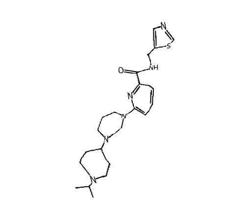 CC(C)N1CCC(N2CCCN(c3cccc(C(=O)NCc4cncs4)n3)CC2)CC1